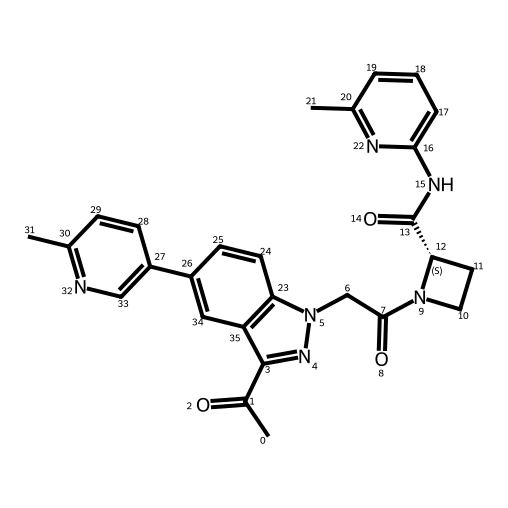 CC(=O)c1nn(CC(=O)N2CC[C@H]2C(=O)Nc2cccc(C)n2)c2ccc(-c3ccc(C)nc3)cc12